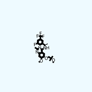 COc1cc2nc(C)nc(N[C@H](C)c3cc(F)cc(C(F)(F)F)c3)c2cc1OCC(C)(C)OC